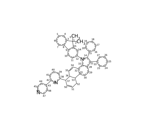 CC1(C)c2ccccc2-c2ccc(-n3c(-c4ccccc4)c(-c4ccccc4)c4ccc5c(c43)C=CC3C(c4cccc(-c6ccncc6)n4)C=CCC53)cc21